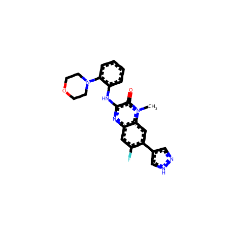 Cn1c(=O)c(Nc2ccccc2N2CCOCC2)nc2cc(F)c(-c3cn[nH]c3)cc21